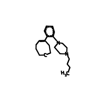 CCCCN1CCN(c2ccccc2C2=CCCCCCC2)CC1